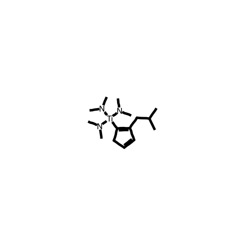 CC(C)CC1=[C]([Ti]([N](C)C)([N](C)C)[N](C)C)CC=C1